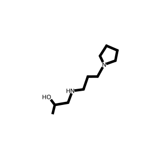 CC(O)CNCCCN1CCCC1